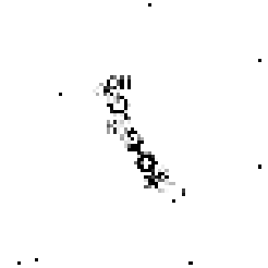 CS(=O)(=O)c1ccc(-c2cnc(NCC3CCN(C(=O)O)CC3)nc2)cc1